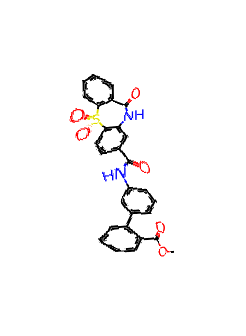 COC(=O)c1ccccc1-c1cccc(NC(=O)c2ccc3c(c2)NC(=O)c2ccccc2S3(=O)=O)c1